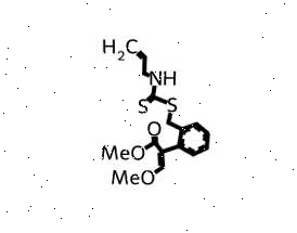 C=CCNC(=S)SCc1ccccc1C(=COC)C(=O)OC